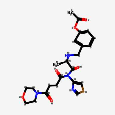 CC(=O)Oc1cccc(CN[C@H](C)C(=O)N(C(=O)CCC(=O)N2CCOCC2)c2cscn2)c1